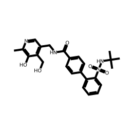 Cc1ncc(CNC(=O)c2ccc(-c3ccccc3S(=O)(=O)NC(C)(C)C)cc2)c(CO)c1O